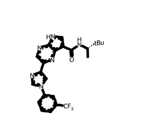 C[C@H](NC(=O)c1c[nH]c2ncc(-c3cn(-c4cccc(C(F)(F)F)c4)cn3)nc12)C(C)(C)C